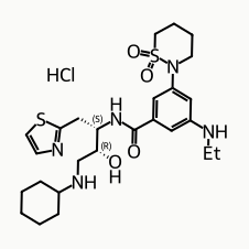 CCNc1cc(C(=O)N[C@@H](Cc2nccs2)[C@H](O)CNC2CCCCC2)cc(N2CCCCS2(=O)=O)c1.Cl